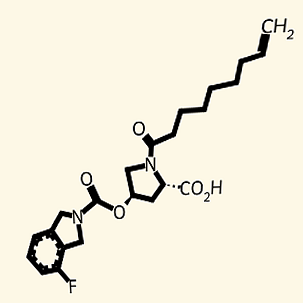 C=CCCCCCCC(=O)N1C[C@H](OC(=O)N2Cc3cccc(F)c3C2)C[C@H]1C(=O)O